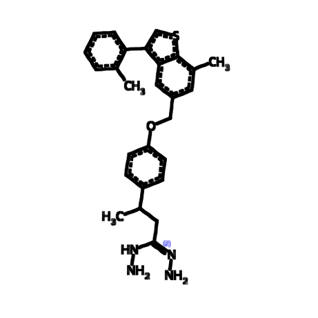 Cc1ccccc1-c1csc2c(C)cc(COc3ccc(C(C)C/C(=N/N)NN)cc3)cc12